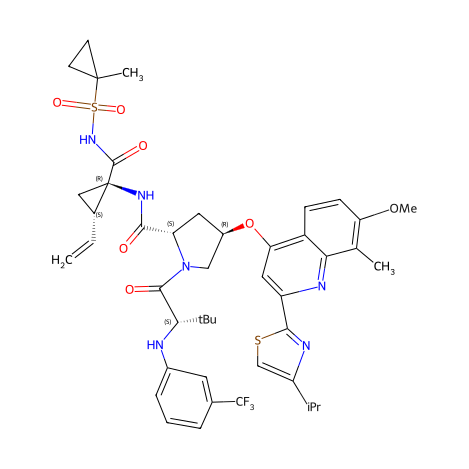 C=C[C@@H]1C[C@]1(NC(=O)[C@@H]1C[C@@H](Oc2cc(-c3nc(C(C)C)cs3)nc3c(C)c(OC)ccc23)CN1C(=O)[C@@H](Nc1cccc(C(F)(F)F)c1)C(C)(C)C)C(=O)NS(=O)(=O)C1(C)CC1